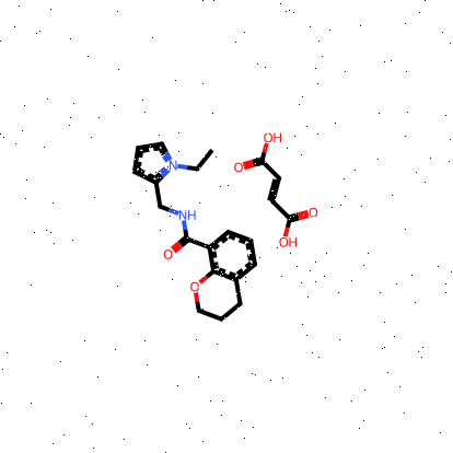 CCn1cccc1CNC(=O)c1cccc2c1OCCC2.O=C(O)/C=C/C(=O)O